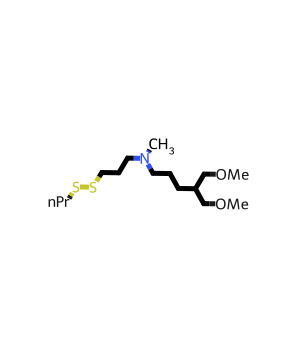 CCCSSCCCN(C)CCCC(COC)COC